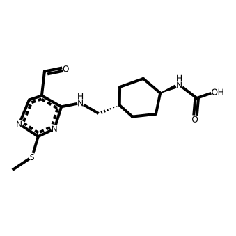 CSc1ncc(C=O)c(NC[C@H]2CC[C@H](NC(=O)O)CC2)n1